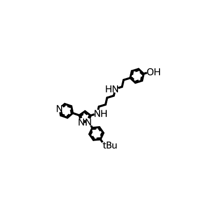 CC(C)(C)c1ccc(-n2nc(-c3ccncc3)cc2NCCCCNCCc2ccc(O)cc2)cc1